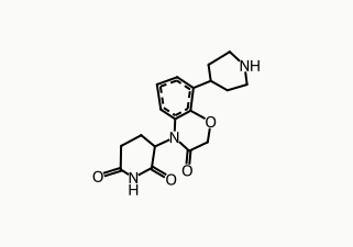 O=C1CCC(N2C(=O)COc3c(C4CCNCC4)cccc32)C(=O)N1